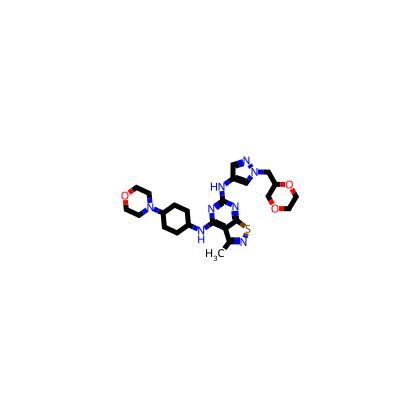 Cc1nsc2nc(Nc3cnn(CC4COCCO4)c3)nc(NC3CCC(N4CCOCC4)CC3)c12